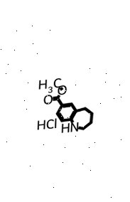 COC(=O)c1ccc2c(c1)CCCCN2.Cl